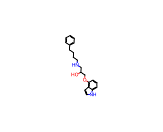 OC(CNCCCCc1ccccc1)COc1cccc2[nH]ccc12